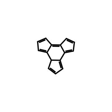 C1=CC2=C3C=CC=C3C3C=CC=C3C2=C1